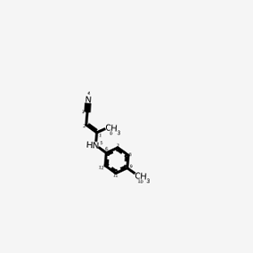 C/C(=C\C#N)Nc1ccc(C)cc1